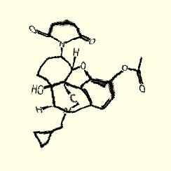 CC(=O)Oc1ccc2c3c1O[C@H]1[C@H](N4C(=O)CCC4=O)CCC4(O)[C@@H](C2)N(CC2CC2)CC[C@]314